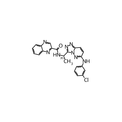 C[C@@H](NC(=O)c1cnc2ccccc2n1)c1nnc2ccc(Nc3cccc(Cl)c3)nn12